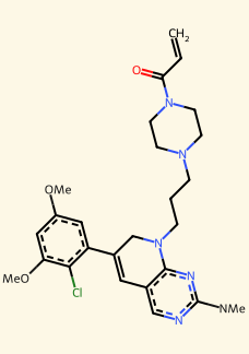 C=CC(=O)N1CCN(CCCN2CC(c3cc(OC)cc(OC)c3Cl)=Cc3cnc(NC)nc32)CC1